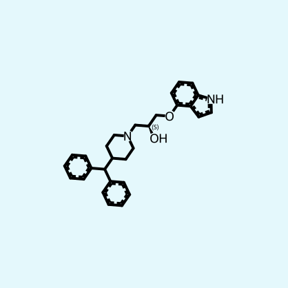 O[C@H](COc1cccc2[nH]ccc12)CN1CCC(C(c2ccccc2)c2ccccc2)CC1